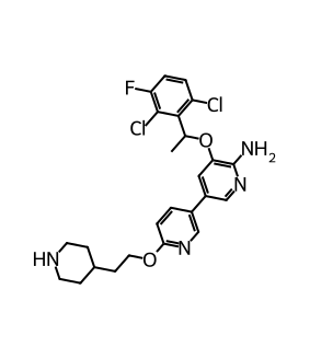 CC(Oc1cc(-c2ccc(OCCC3CCNCC3)nc2)cnc1N)c1c(Cl)ccc(F)c1Cl